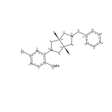 COc1cnc(Cl)nc1N1C[C@]2(C)CN(Cc3ccccc3)C[C@]2(C)C1